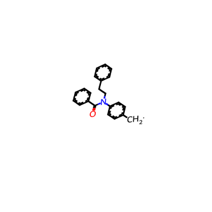 [CH2]c1ccc(N(CCc2ccccc2)C(=O)c2ccccc2)cc1